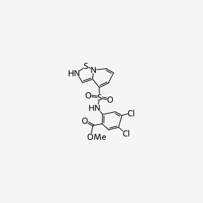 COC(=O)c1cc(Cl)c(Cl)cc1NS(=O)(=O)C1=CC=CN2SNC=C12